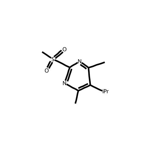 Cc1nc(S(C)(=O)=O)nc(C)c1C(C)C